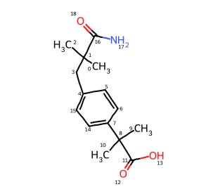 CC(C)(Cc1ccc(C(C)(C)C(=O)O)cc1)C(N)=O